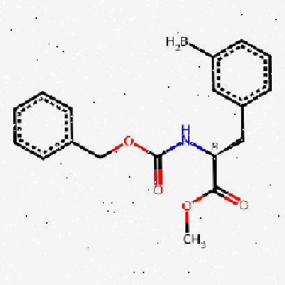 Bc1cccc(C[C@H](NC(=O)OCc2ccccc2)C(=O)OC)c1